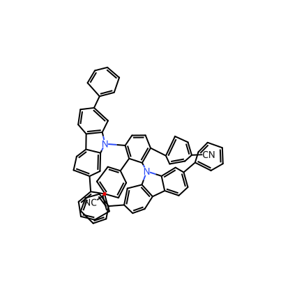 N#Cc1ccc(-c2ccc(-n3c4cc(-c5ccccc5)ccc4c4ccc(-c5ccccc5)cc43)c(-c3ccc(C#N)cc3)c2-n2c3cc(-c4ccccc4)ccc3c3ccc(-c4ccccc4)cc32)cc1